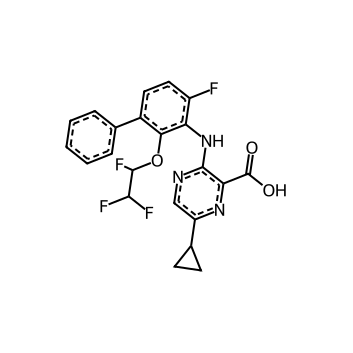 O=C(O)c1nc(C2CC2)cnc1Nc1c(F)ccc(-c2ccccc2)c1OC(F)C(F)F